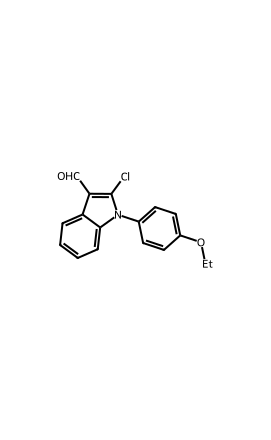 CCOc1ccc(-n2c(Cl)c(C=O)c3ccccc32)cc1